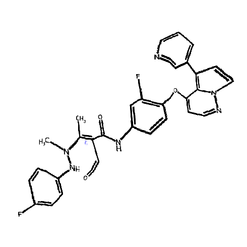 C/C(=C(/C=O)C(=O)Nc1ccc(Oc2ccnn3ccc(-c4cccnc4)c23)c(F)c1)N(C)Nc1ccc(F)cc1